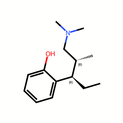 CC[C@@H](c1ccccc1O)[C@@H](C)CN(C)C